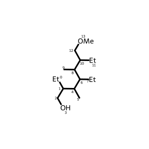 CCC(CO)C(C)C(CC)C(C)C(CC)COC